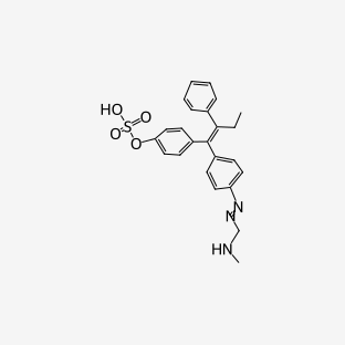 CC/C(=C(\c1ccc(N=NCNC)cc1)c1ccc(OS(=O)(=O)O)cc1)c1ccccc1